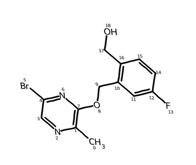 Cc1ncc(Br)nc1OCc1cc(F)ccc1CO